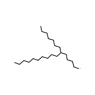 [CH2]CCCCC(CCCCCCC)CCCCCCCCCC